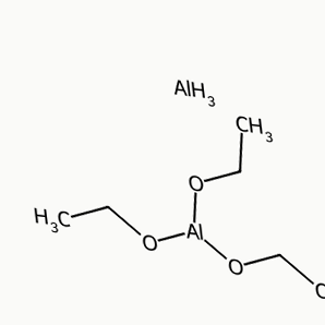 CC[O][Al]([O]CC)[O]CC.[AlH3]